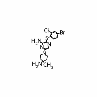 CC1(N)CCN(c2cnc(Sc3ccc(Br)cc3Cl)c(N)n2)CC1